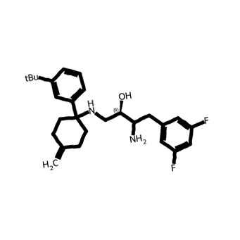 C=C1CCC(NC[C@@H](O)C(N)Cc2cc(F)cc(F)c2)(c2cccc(C(C)(C)C)c2)CC1